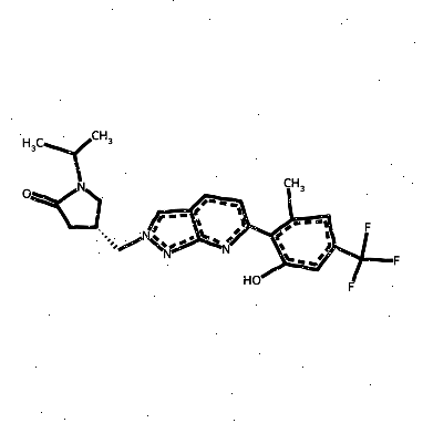 Cc1cc(C(F)(F)F)cc(O)c1-c1ccc2cn(C[C@@H]3CC(=O)N(C(C)C)C3)nc2n1